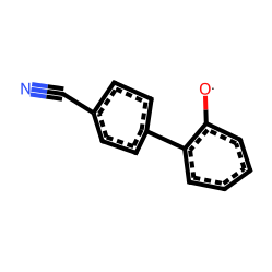 N#Cc1ccc(-c2ccccc2[O])cc1